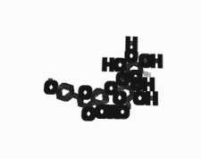 COc1ccc(-c2cc(=O)c3c(O)cc(O[C@@H]4O[C@H](CO)[C@@H](O)[C@H](O)[C@H]4O[C@@H]4O[C@@H](C)[C@H](O)[C@@H](O)[C@H]4O)cc3o2)cc1